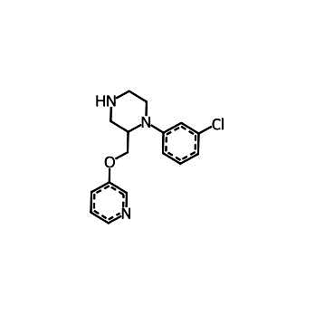 Clc1cccc(N2CCNCC2COc2cccnc2)c1